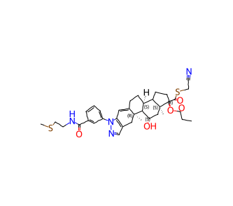 CCC(=O)O[C@]1(C(=O)SCC#N)CCC2[C@@H]3CCC4=Cc5c(cnn5-c5cccc(C(=O)NCCSC)c5)C[C@]4(C)C3[C@@H](O)C[C@@]21C